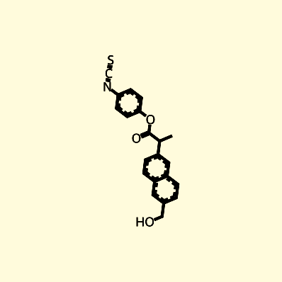 CC(C(=O)Oc1ccc(N=C=S)cc1)c1ccc2cc(CO)ccc2c1